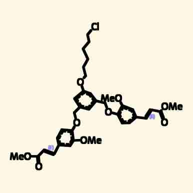 COC(=O)/C=C/c1ccc(OCc2cc(COc3ccc(/C=C/C(=O)OC)cc3OC)cc(OCCCCCCCl)c2)c(OC)c1